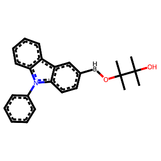 CC(C)(O)C(C)(C)OBc1ccc2c(c1)c1ccccc1n2-c1ccccc1